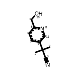 CC(C)(C#N)c1ccc(CO)nc1